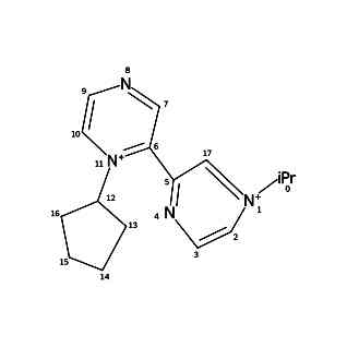 CC(C)[n+]1ccnc(-c2cncc[n+]2C2CCCC2)c1